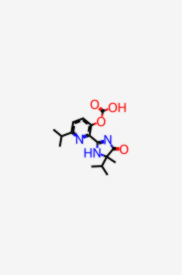 CC(C)c1ccc(OC(=O)O)c(C2=NC(=O)C(C)(C(C)C)N2)n1